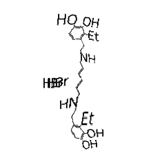 Br.Br.CCc1c(CCNCC=CC=CCNCCc2ccc(O)c(O)c2CC)ccc(O)c1O